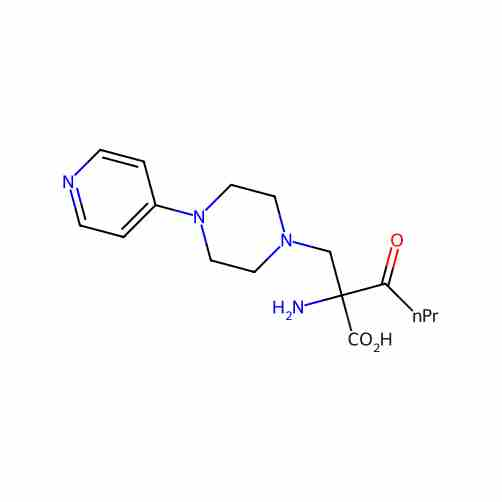 CCCC(=O)C(N)(CN1CCN(c2ccncc2)CC1)C(=O)O